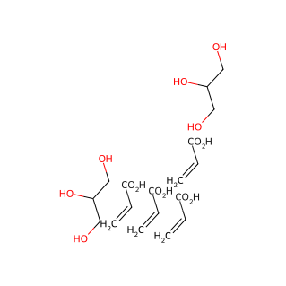 C=CC(=O)O.C=CC(=O)O.C=CC(=O)O.C=CC(=O)O.OCC(O)CO.OCC(O)CO